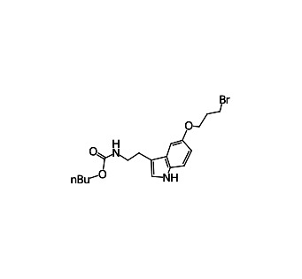 CCCCOC(=O)NCCc1c[nH]c2ccc(OCCCBr)cc12